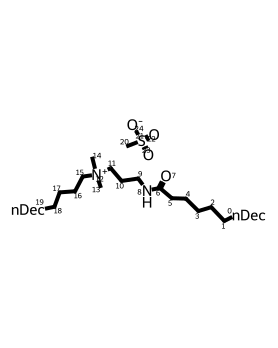 CCCCCCCCCCCCCCCC(=O)NCCC[N+](C)(C)CCCCCCCCCCCCCC.CS(=O)(=O)[O-]